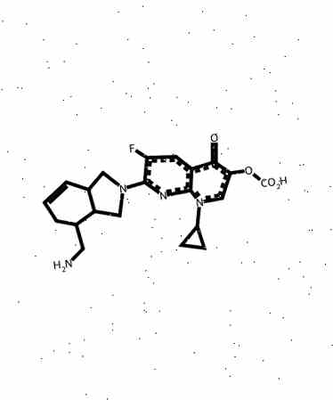 NCC1CC=CC2CN(c3nc4c(cc3F)c(=O)c(OC(=O)O)cn4C3CC3)CC21